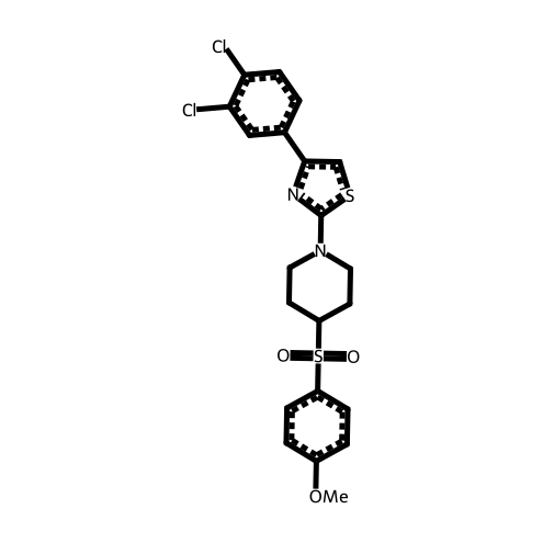 COc1ccc(S(=O)(=O)C2CCN(c3nc(-c4ccc(Cl)c(Cl)c4)cs3)CC2)cc1